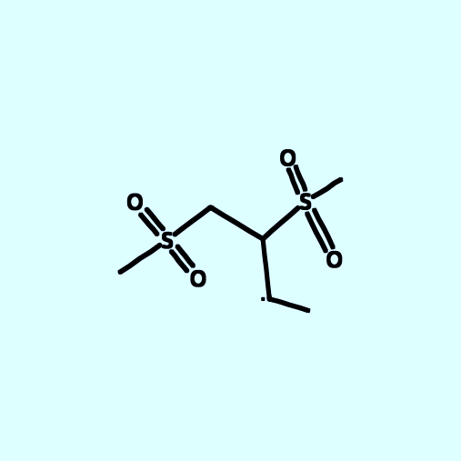 C[CH]C(CS(C)(=O)=O)S(C)(=O)=O